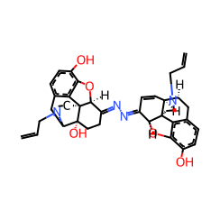 C=CCN1CC[C@]23c4c5ccc(O)c4O[C@H]2/C(=N/N=C2\C=C[C@H]4[C@H]6Cc7ccc(O)c8c7[C@@]4(CCN6CC=C)[C@H]2O8)CC[C@@]3(O)C1C5